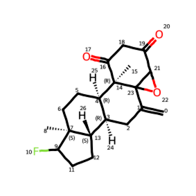 C=C1C[C@@H]2[C@@H](CC[C@]3(C)C(F)CC[C@@H]23)[C@@]2(C)C(=O)CC(=O)C3OC132